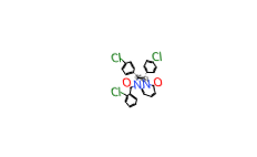 O=C(c1ccccc1Cl)N1c2cccc(=O)n2[C@@H](c2ccc(Cl)cc2)[C@H]1c1ccc(Cl)cc1